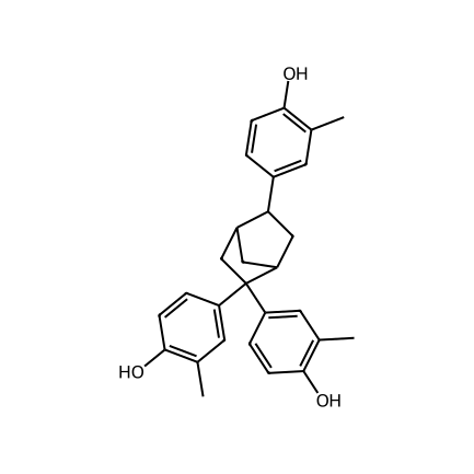 Cc1cc(C2CC3CC2CC3(c2ccc(O)c(C)c2)c2ccc(O)c(C)c2)ccc1O